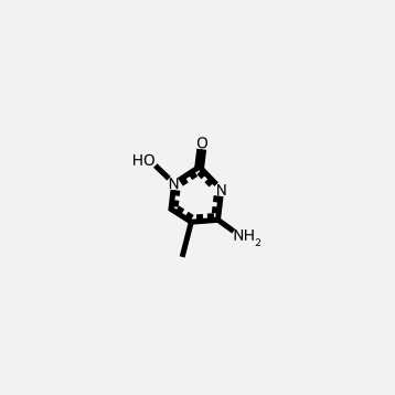 Cc1cn(O)c(=O)nc1N